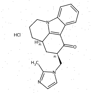 Cc1nccn1C[C@H]1C[C@H]2CCCn3c2c(c2ccccc23)C1=O.Cl